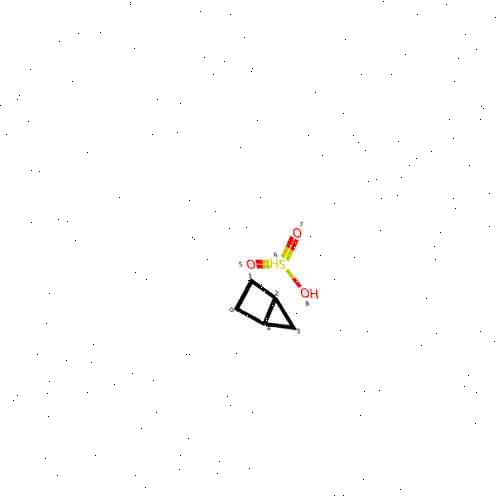 C1CC2CC12.O=[SH](=O)O